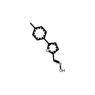 Cc1ccc(-c2ccc(/C=N/O)o2)cc1